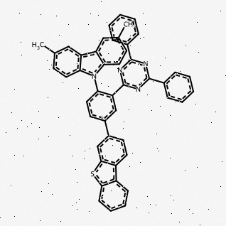 Cc1ccc2c(c1)c1cc(C)ccc1n2-c1ccc(-c2ccc3c(c2)sc2ccccc23)cc1-c1nc(-c2ccccc2)nc(-c2ccccc2)n1